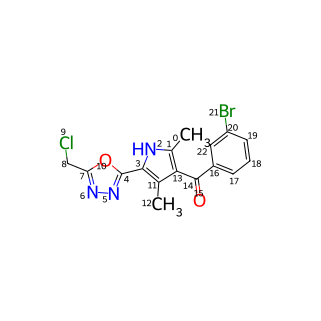 Cc1[nH]c(-c2nnc(CCl)o2)c(C)c1C(=O)c1cccc(Br)c1